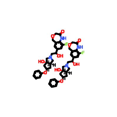 O=C1COCc2cc(C(O)CN3C[C@H]4C[C@H](Oc5ccccc5)C[C@@]4(O)C3)cc(F)c2N1.O=C1COCc2cc(C(O)CN3C[C@H]4C[C@H](Oc5ccccc5)C[C@@]4(O)C3)cc(F)c2N1